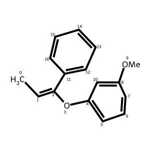 CC=C(Oc1cccc(OC)c1)c1ccccc1